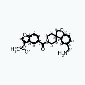 C[S+]([O-])c1coc2ccc(C(=O)N3CCC4(CC3)COc3ccc(CN)cc34)cc12